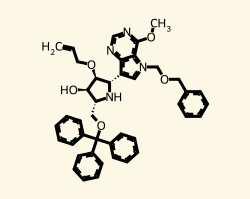 C=CCO[C@@H]1[C@H](O)[C@@H](COC(c2ccccc2)(c2ccccc2)c2ccccc2)N[C@H]1c1cn(COCc2ccccc2)c2c(OC)ncnc12